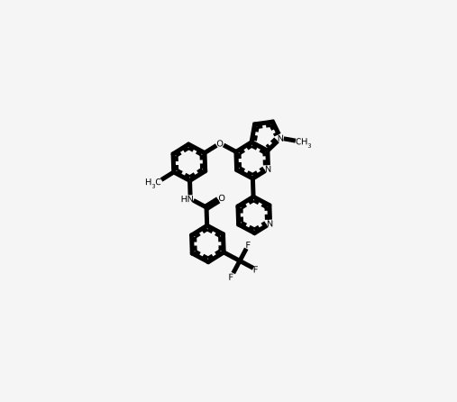 Cc1ccc(Oc2cc(-c3cccnc3)nc3c2ccn3C)cc1NC(=O)c1cccc(C(F)(F)F)c1